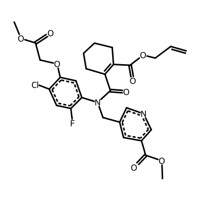 C=CCOC(=O)C1=C(C(=O)N(Cc2cncc(C(=O)OC)c2)c2cc(OCC(=O)OC)c(Cl)cc2F)CCCC1